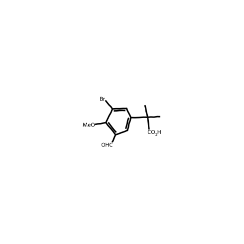 COc1c(Br)cc(C(C)(C)C(=O)O)cc1C=O